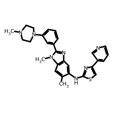 Cc1cc2c(cc1Nc1nc(-c3cccnc3)cs1)nc(-c1cccc(N3CCN(C)CC3)c1)n2C